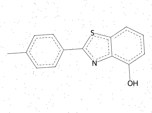 Cc1ccc(-c2nc3c(O)cccc3s2)cc1